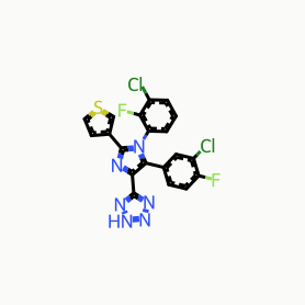 Fc1ccc(-c2c(-c3nn[nH]n3)nc(-c3ccsc3)n2-c2cccc(Cl)c2F)cc1Cl